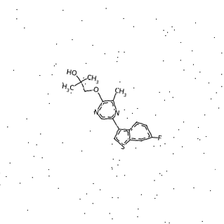 Cc1nc(-c2csc3cc(F)ccc23)cnc1OCC(C)(C)O